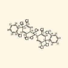 O=S(=O)(C1C=C(Cl)C(Cl)(c2ccccc2Cl)C=C1Cl)C1C=C(Cl)C(Cl)(c2ccccc2Cl)C=C1Cl